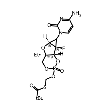 CC[C@@]12COP(=O)(OCSC(=O)C(C)(C)C)O[C@H]1[C@@]1(F)C(n3ccc(N)nc3=O)[C@@H]1O2